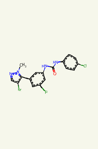 Cn1ncc(Br)c1-c1cc(F)cc(NC(=O)Nc2ccc(Cl)cc2)c1